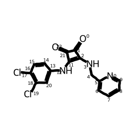 O=c1c(NCc2ccccn2)c(Nc2ccc(Cl)c(Cl)c2)c1=O